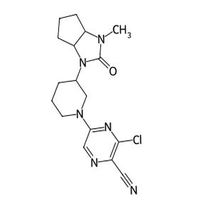 CN1C(=O)N(C2CCCN(c3cnc(C#N)c(Cl)n3)C2)C2CCCC21